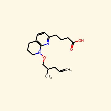 C=CCC(C)CON1CCCc2ccc(CCCC(=O)O)nc21